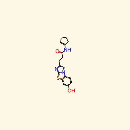 O=C(CCc1cn2c(n1)sc1cc(O)ccc12)NC1=CCCC1